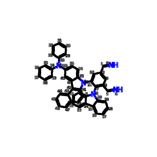 N=Cc1cc(C=N)c(-n2c3ccccc3c3ccccc32)c(-n2c3ccc(N(c4ccccc4)c4ccccc4)cc3c3c4ccccc4ccc32)c1